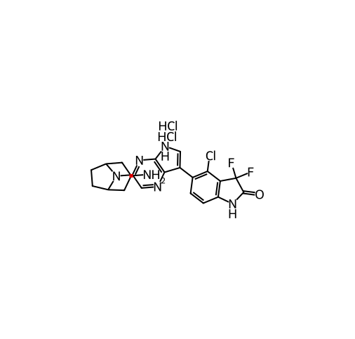 Cl.Cl.NC1CC2CCC(C1)N2c1cnc2c(-c3ccc4c(c3Cl)C(F)(F)C(=O)N4)c[nH]c2n1